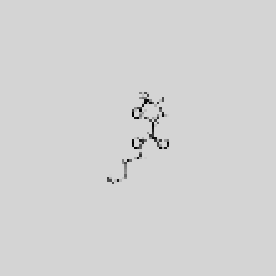 CCCCOC(=O)c1cc[c]o1